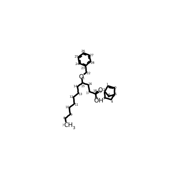 C1=CC2CCC1C2.CCCCCCCCC(CCC(=O)O)OCc1ccccc1